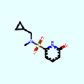 CN(CC1CC1)S(=O)(=O)c1cccc(=O)[nH]1